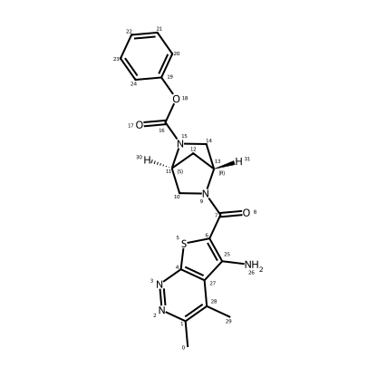 Cc1nnc2sc(C(=O)N3C[C@@H]4C[C@@H]3CN4C(=O)Oc3ccccc3)c(N)c2c1C